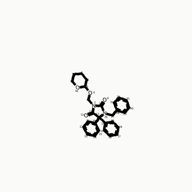 O=C1N(COC2CCCCO2)C(=O)C(c2ccccc2)(c2ccccc2)N1Cc1ccccc1